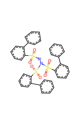 O=S(=O)([N]N(S(=O)(=O)c1ccccc1-c1ccccc1)S(=O)(=O)c1ccccc1-c1ccccc1)c1ccccc1-c1ccccc1